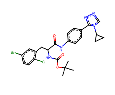 CC(C)(C)OC(=O)NC(Cc1cc(Br)ccc1Cl)C(=O)Nc1ccc(-c2nncn2C2CC2)cc1